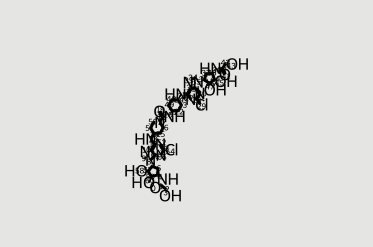 O=C(CO)N[C@H]1C[C@@H](n2cnc3c(NC4CCN(C(=O)N[C@H]5CC[C@H](Nc6nc(Cl)nc7c6ncn7[C@@H]6C[C@H](NC(=O)CO)[C@@H](O)[C@H]6O)CC5)CC4)nc(Cl)nc32)[C@H](O)[C@@H]1O